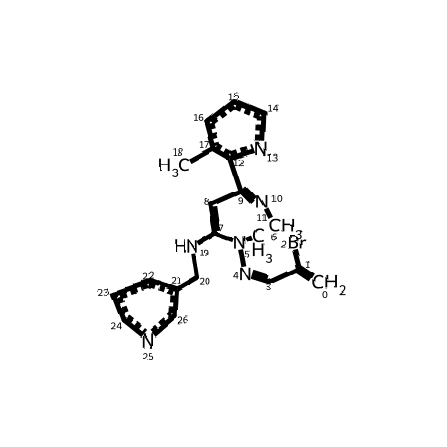 C=C(Br)/C=N\N(C)/C(=C\C(=N/C)c1ncccc1C)NCc1cccnc1